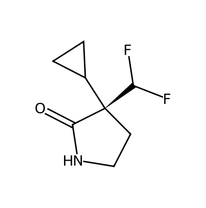 O=C1NCC[C@@]1(C(F)F)C1CC1